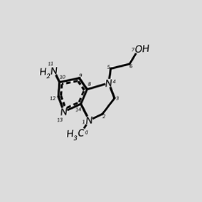 CN1CCN(CCO)c2cc(N)cnc21